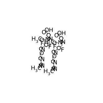 COCCn1c(Cc2cc(F)c(-c3cccc(OCc4ccc(-c5cnn(C)c5)nc4)n3)cc2F)nc2ccc(C(=O)O)cc21.COCCn1c(Cc2cc(F)c(-c3cccc(OCc4ccc(-c5cnn(C)c5)nc4)n3)cc2F)nc2ccc(C(=O)O)cc21